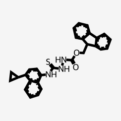 O=C(NNC(=S)Nc1ccc(C2CC2)c2ccccc12)OCC1c2ccccc2-c2ccccc21